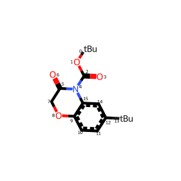 CC(C)(C)OC(=O)N1C(=O)COc2ccc(C(C)(C)C)cc21